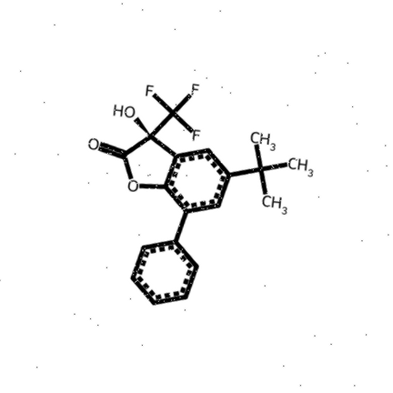 CC(C)(C)c1cc(-c2ccccc2)c2c(c1)[C@@](O)(C(F)(F)F)C(=O)O2